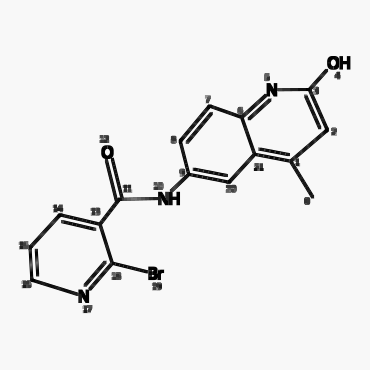 Cc1cc(O)nc2ccc(NC(=O)c3cccnc3Br)cc12